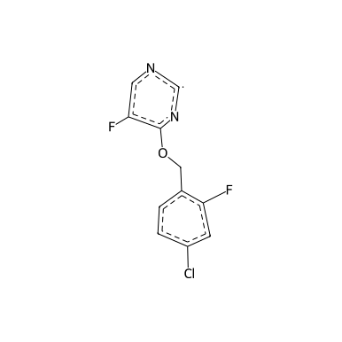 Fc1cc(Cl)ccc1COc1n[c]ncc1F